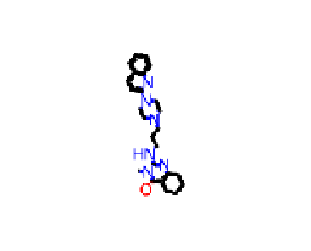 Cn1c(NCCCN2CCN(c3ccc4ccccc4n3)CC2)nc2c(c1=O)CCCC2